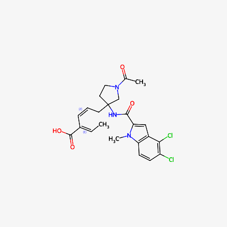 C/C=C(\C=C/CC1(NC(=O)c2cc3c(Cl)c(Cl)ccc3n2C)CCN(C(C)=O)C1)C(=O)O